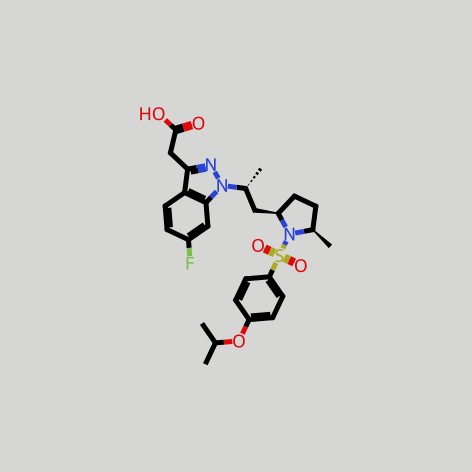 CC(C)Oc1ccc(S(=O)(=O)N2[C@@H](C[C@@H](C)n3nc(CC(=O)O)c4ccc(F)cc43)CC[C@H]2C)cc1